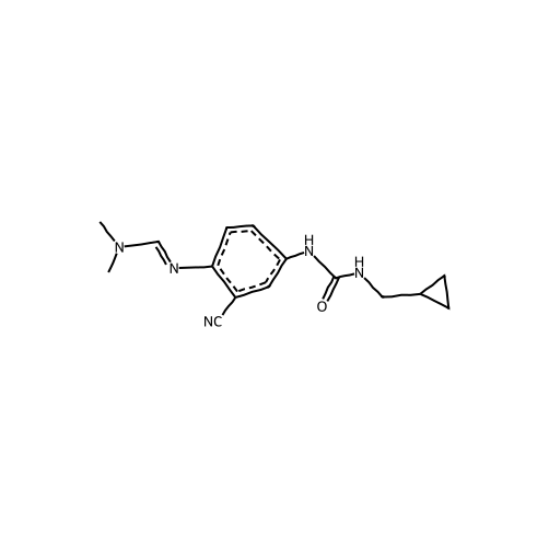 CN(C)/C=N/c1ccc(NC(=O)NCC2CC2)cc1C#N